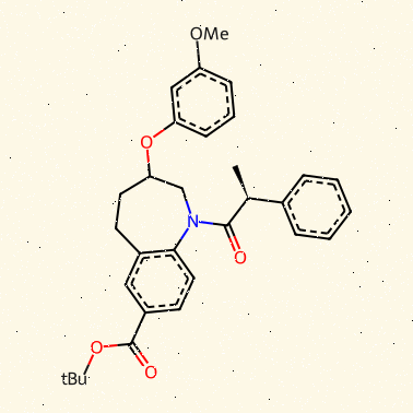 COc1cccc(OC2CCc3cc(C(=O)OC(C)(C)C)ccc3N(C(=O)[C@@H](C)c3ccccc3)C2)c1